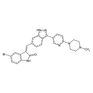 CN1CCN(c2ccc(-c3n[nH]c4cc(/C=C5\C(=O)Nc6ccc(Br)cc65)ccc34)cn2)CC1